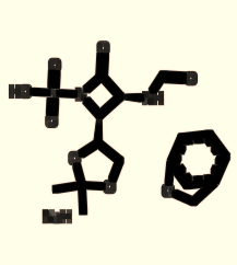 CC1(C)OCC([C@@H]2[C@H](NC=O)C(=O)N2S(=O)(=O)O)O1.[NaH].c1cc2cc(c1)OC2